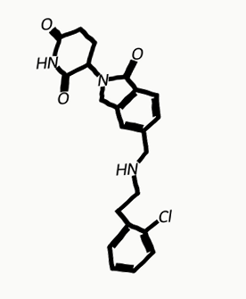 O=C1CCC(N2Cc3cc(CNCCc4ccccc4Cl)ccc3C2=O)C(=O)N1